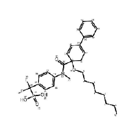 CCCCCCCCOC1(C(=O)N(C)c2ccc(C(F)(F)P(=O)(O)O)cc2)C=CC(c2ccccc2)=CC1